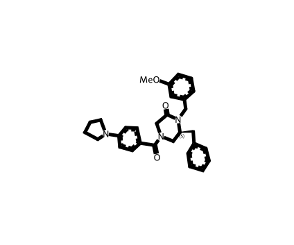 COc1cccc(CN2C(=O)CN(C(=O)c3ccc(N4CCCC4)cc3)C[C@@H]2Cc2ccccc2)c1